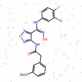 COc1cccc(CC(=O)Nc2nonc2/C(=N\O)Nc2ccc(F)c(Br)c2)c1